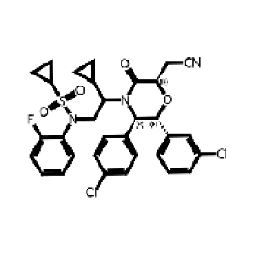 N#CC[C@H]1O[C@H](c2cccc(Cl)c2)[C@@H](c2ccc(Cl)cc2)N(C(CN(c2ccccc2F)S(=O)(=O)C2CC2)C2CC2)C1=O